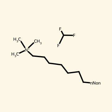 CCCCCCCCCCCCCCCC[N+](C)(C)C.FC(F)F